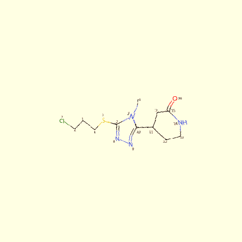 Cn1c(SCCCCl)nnc1C1CCNC(=O)C1